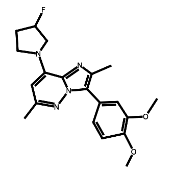 COc1ccc(-c2c(C)nc3c(N4CCC(F)C4)cc(C)nn23)cc1OC